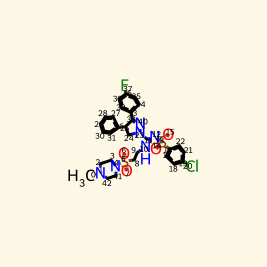 CN1CCN(S(=O)(=O)CCN/C(=N\S(=O)(=O)c2ccc(Cl)cc2)N2C[C@@H](c3ccccc3)C(c3ccc(F)cc3)=N2)CC1